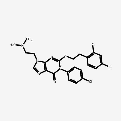 CN(C)CCn1cnc2c(=O)n(-c3ccc(Cl)cc3)c(SCCc3ccc(Cl)cc3Cl)nc21